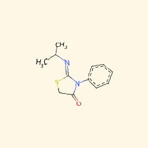 CC(C)N=C1SCC(=O)N1c1ccccc1